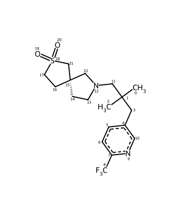 CC(C)(Cc1ccc(C(F)(F)F)nc1)CN1CC[C@@]2(CCS(=O)(=O)C2)C1